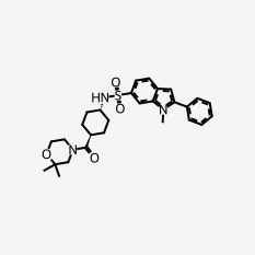 Cn1c(-c2ccccc2)cc2ccc(S(=O)(=O)N[C@H]3CC[C@H](C(=O)N4CCOC(C)(C)C4)CC3)cc21